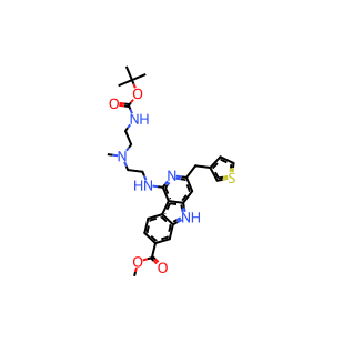 COC(=O)c1ccc2c(c1)[nH]c1cc(Cc3ccsc3)nc(NCCN(C)CCNC(=O)OC(C)(C)C)c12